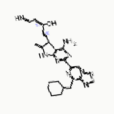 C=C1Nc2nc(-c3cn4ncnc4c(CC4CCCCC4)n3)nc(N)c2C1/C=C/C(O)=C\C=N